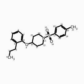 CCCc1ccccc1OC1CCN(S(=O)(=O)c2ccc(C)cc2)CC1